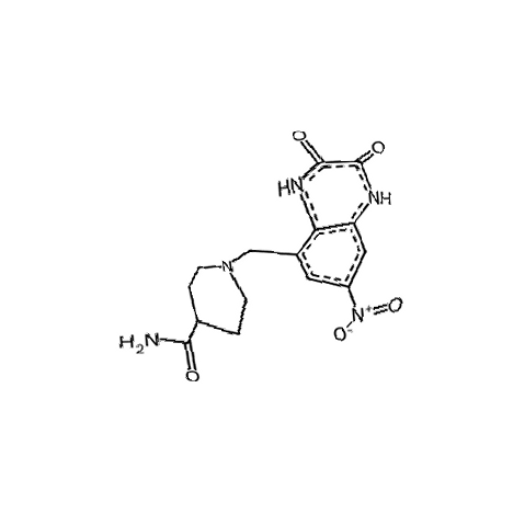 NC(=O)C1CCN(Cc2cc([N+](=O)[O-])cc3[nH]c(=O)c(=O)[nH]c23)CC1